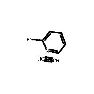 Brc1ccccn1.C#C